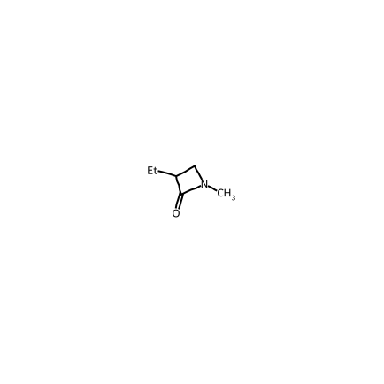 CCC1CN(C)C1=O